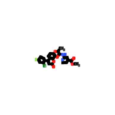 COC(=O)c1ccnc(NC(=O)C(C)Oc2ccc3c(-c4ccc(F)cc4Cl)cc(=O)oc3c2)c1